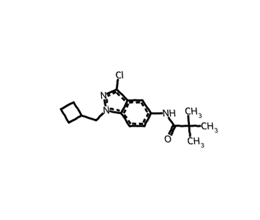 CC(C)(C)C(=O)Nc1ccc2c(c1)c(Cl)nn2CC1CCC1